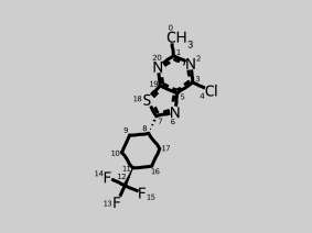 Cc1nc(Cl)c2nc([C@H]3CC[C@H](C(F)(F)F)CC3)sc2n1